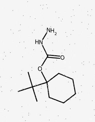 CC(C)(C)C1(OC(=O)NN)CCCCC1